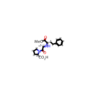 COC(=O)[C@H](CCc1ccccc1)N[C@@H](C)C(=O)N1CCC[C@H]1C(=O)O